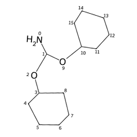 NC(OC1CCCCC1)OC1CCCCC1